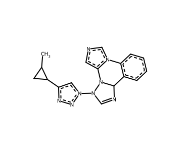 CC1CC1c1cn(N2C=NC3c4ccccc4-n4cncc4N32)nn1